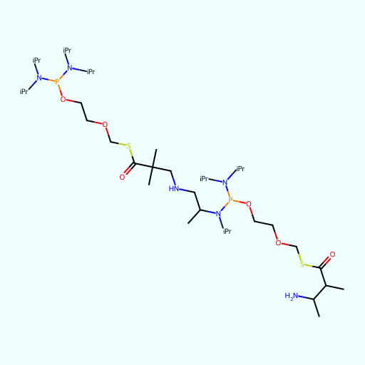 CC(N)C(C)C(=O)SCOCCOP(N(C(C)C)C(C)C)N(C(C)C)C(C)CNCC(C)(C)C(=O)SCOCCOP(N(C(C)C)C(C)C)N(C(C)C)C(C)C